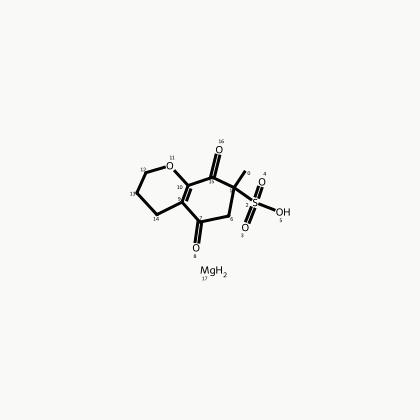 CC1(S(=O)(=O)O)CC(=O)C2=C(OCCC2)C1=O.[MgH2]